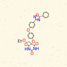 CCOCCC1(Oc2ccc(Oc3ccc(-c4noc(-c5ccccc5)n4)cc3)cc2)C(=O)NC(=O)NC1=O